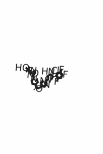 C[C@H](Oc1cnc(N2C[C@H](NCl)[C@@H](c3cc(F)c(F)cc3F)C2)nc1)C1CCN(c2nc(C(C)(C)O)no2)CC1